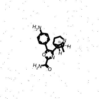 C[C@H]1[C@H](c2nc(C(N)=O)oc2-c2ccc(N)cc2)C2CCN1CC2